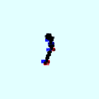 O=C(CCCCCCNC(=O)c1cnc(C2CCc3ccccc3N2)nc1)NO